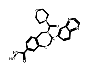 O=C(NO)c1ccc2c(c1)OC[C@@H](c1ccc3nccnc3c1)N(C(=O)N1CCOCC1)C2